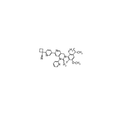 C=C1N(c2c(F)c(OC)cc(C(C)C)c2F)Cc2cnc(-c3ccc(C4(C#N)CCC4)nc3)cc2N1c1ccccn1